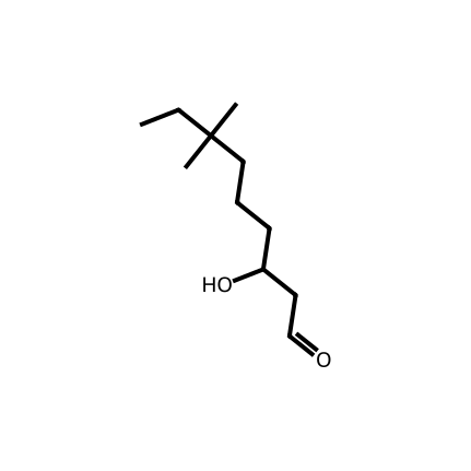 CCC(C)(C)CCCC(O)CC=O